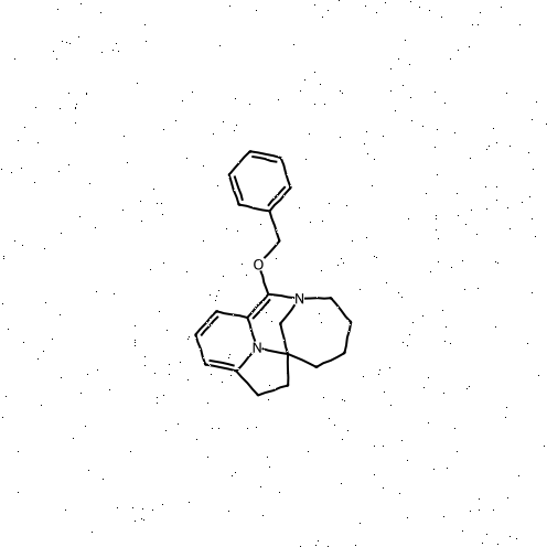 C1=CC2=C(OCc3ccccc3)N3CCCCC4(CCC(=C1)N24)C3